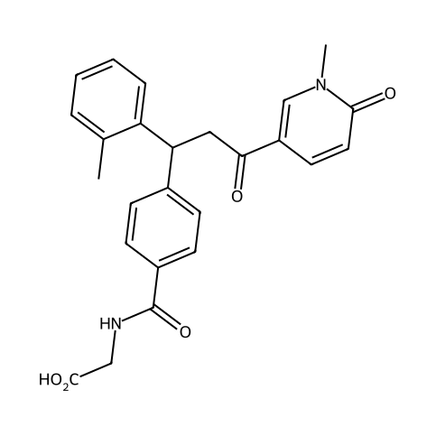 Cc1ccccc1C(CC(=O)c1ccc(=O)n(C)c1)c1ccc(C(=O)NCC(=O)O)cc1